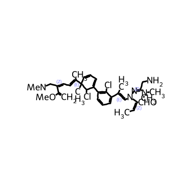 C=C(OC)/C(=C\C=C(/C)C1(C)C=CC=C(c2cccc(/C(C)=C/N(/N=C(/CN)N(C)C)/C(C=O)=C\C)c2Cl)C1Cl)CNC